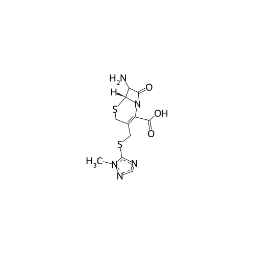 Cn1ncnc1SCC1=C(C(=O)O)N2C(=O)C(N)[C@H]2SC1